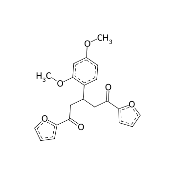 COc1ccc(C(CC(=O)c2ccco2)CC(=O)c2ccco2)c(OC)c1